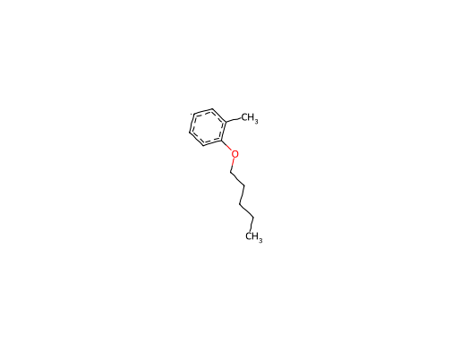 CCCCCOc1cc[c]cc1C